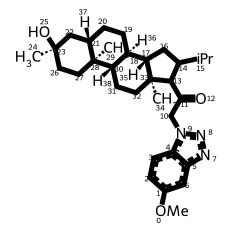 COc1ccc2c(c1)nnn2CC(=O)C1C(C(C)C)C[C@H]2[C@@H]3CC[C@H]4C[C@](C)(O)CC[C@]4(C)[C@H]3CC[C@]12C